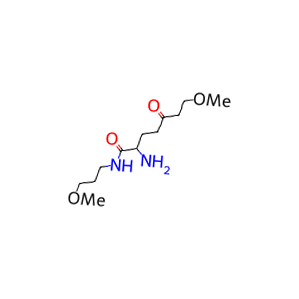 COCCCNC(=O)C(N)CCC(=O)CCOC